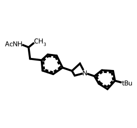 CC(=O)NC(C)Cc1ccc(C2CN(c3ccc(C(C)(C)C)cc3)C2)cc1